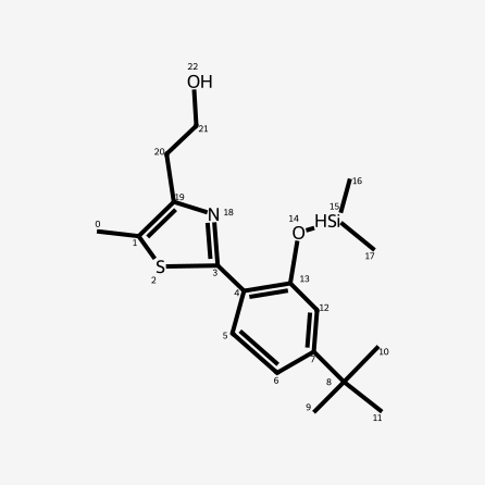 Cc1sc(-c2ccc(C(C)(C)C)cc2O[SiH](C)C)nc1CCO